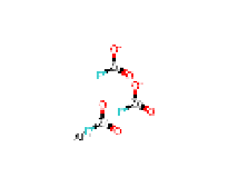 [Al+3].[O]=[Zr]([O-])[F].[O]=[Zr]([O-])[F].[O]=[Zr]([O-])[F]